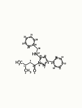 CC(C)CC(=O)n1nc(-c2ccccc2)cc1NCc1ccccc1